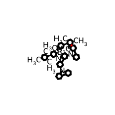 Cc1cc(C)c(-c2ccc3c(c2)B2c4c(cc(-c5c(C)cc(C)cc5C)cc4-n4c5ccc(-n6c7ccccc7c7ccccc76)cc5c5cc(-n6c7ccccc7c7ccccc76)cc2c54)O3)c(C)c1